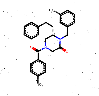 O=C(c1ccc([N+](=O)[O-])cc1)N1CC(=O)N(Cc2cccc(C(F)(F)F)c2)[C@@H](CCc2ccccc2)C1